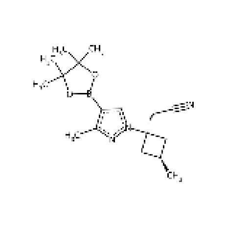 Cc1nn([C@]2(CC#N)C[C@H](C)C2)cc1B1OC(C)(C)C(C)(C)O1